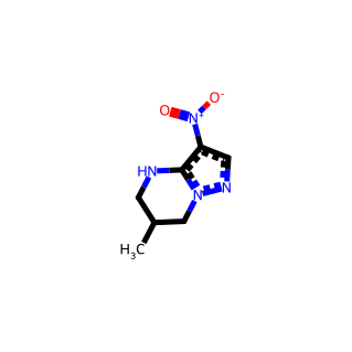 CC1CNc2c([N+](=O)[O-])cnn2C1